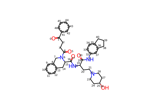 O=C(CCC(=O)N1Cc2ccccc2CC1C(=O)NC(CCN1CCC(O)CC1)C(=O)Nc1ccc2c(c1)CCC2)c1ccccc1